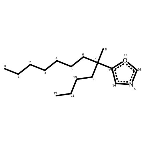 CCCCCCCC(C)(CCCC)c1cnco1